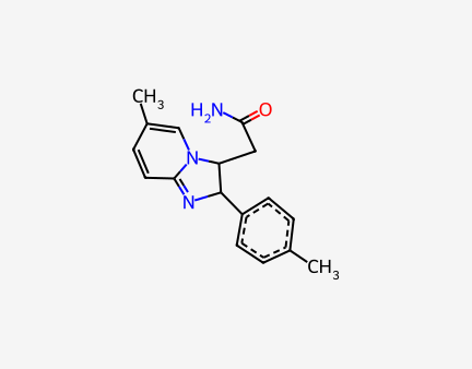 CC1=CN2C(=NC(c3ccc(C)cc3)C2CC(N)=O)C=C1